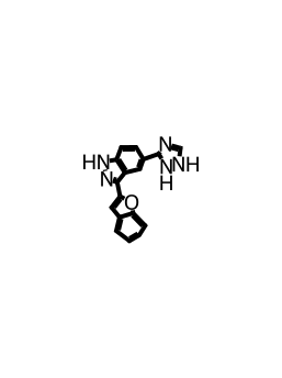 C1=NC(c2ccc3[nH]nc(-c4cc5ccccc5o4)c3c2)NN1